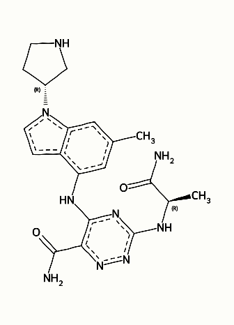 Cc1cc(Nc2nc(N[C@H](C)C(N)=O)nnc2C(N)=O)c2ccn([C@@H]3CCNC3)c2c1